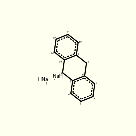 [NaH].[NaH].c1ccc2c(c1)Cc1ccccc1C2